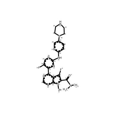 CC(C)n1c(C(=O)N(C)C)c(F)c2c(-c3nc(Nc4ccc(N5CCNCC5)cn4)ncc3F)ncnc21